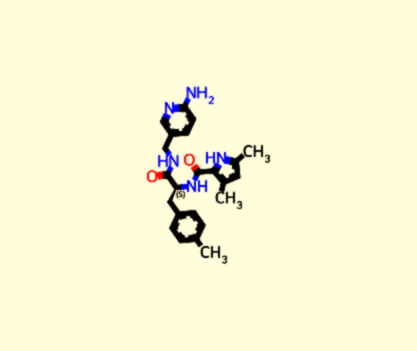 Cc1ccc(C[C@H](NC(=O)c2[nH]c(C)cc2C)C(=O)NCc2ccc(N)nc2)cc1